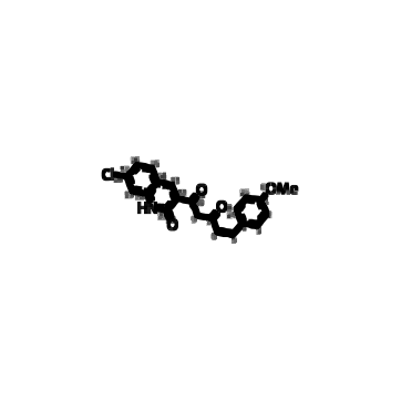 COc1ccc(/C=C\C(=O)CC(=O)c2cc3ccc(Cl)cc3[nH]c2=O)cc1